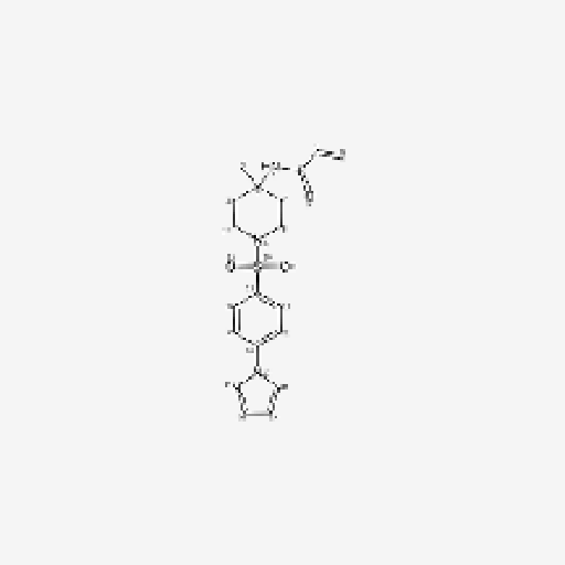 C=CC(=O)NC1(C)CCN(S(=O)(=O)c2ccc(-n3cccn3)cc2)CC1